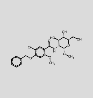 COc1cc(OCc2ccccc2)c(Cl)cc1C(=O)N[C@H]1[C@@H](OC)O[C@H](CO)[C@@H](O)[C@@H]1O